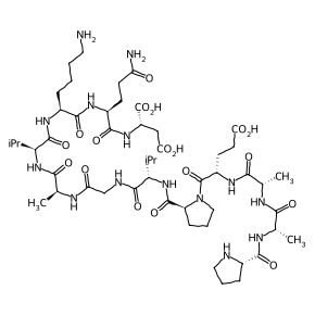 CC(C)[C@H](NC(=O)[C@H](C)NC(=O)CNC(=O)[C@@H](NC(=O)[C@@H]1CCCN1C(=O)[C@H](CCC(=O)O)NC(=O)[C@H](C)NC(=O)[C@H](C)NC(=O)[C@@H]1CCCN1)C(C)C)C(=O)N[C@@H](CCCCN)C(=O)N[C@@H](CCC(N)=O)C(=O)N[C@@H](CC(=O)O)C(=O)O